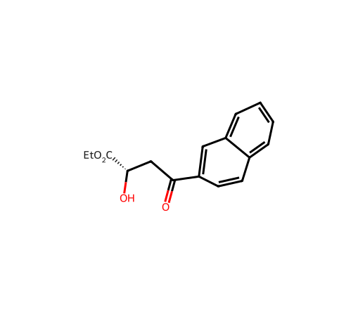 CCOC(=O)[C@@H](O)CC(=O)c1ccc2ccccc2c1